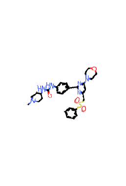 CN1CCC(NC(=O)Nc2ccc(-c3nc(CS(=O)(=O)c4ccccc4)cc(N4CCOCC4)n3)cc2)CC1